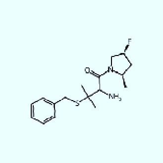 C[C@@H]1C[C@H](F)CN1C(=O)C(N)C(C)(C)SCc1ccccc1